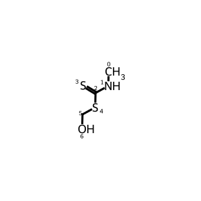 CNC(=S)SCO